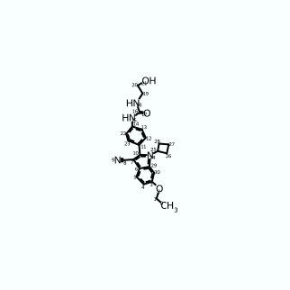 CCOc1ccc2c(C#N)c(-c3ccc(NC(=O)NCCO)cc3)n(C3CCC3)c2c1